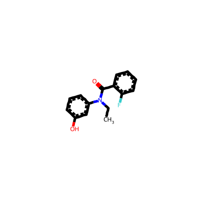 CCN(C(=O)c1ccccc1F)c1cccc(O)c1